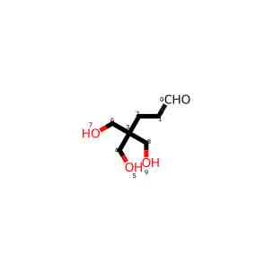 O=CCCC(CO)(CO)CO